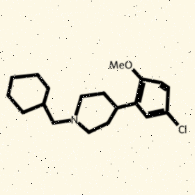 COc1ccc(Cl)cc1C1CCN(CC2CCCCC2)CC1